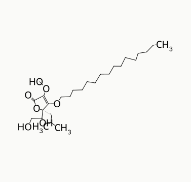 CCCCCCCCCCCCCCCCOC1=C(OO)C(=O)O[C@]1(CC(C)C)[C@@H](O)CO